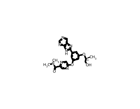 C[C@@H](CO)Oc1cc(Oc2cnc(C(=O)N(C)C)cn2)cc(-c2nc3cncnc3[nH]2)c1